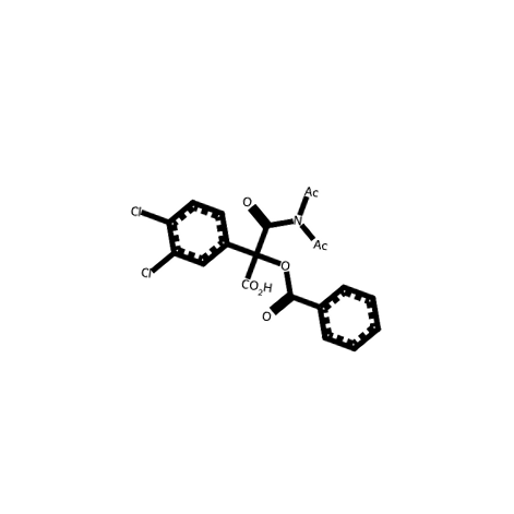 CC(=O)N(C(C)=O)C(=O)C(OC(=O)c1ccccc1)(C(=O)O)c1ccc(Cl)c(Cl)c1